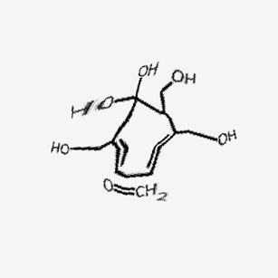 C=O.OC1=CC=C(O)C(O)(O)C1O